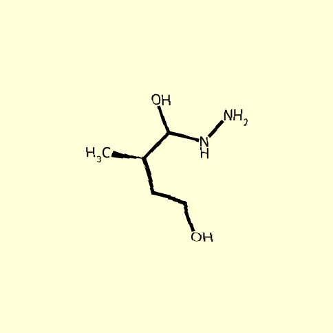 C[C@H](CCO)C(O)NN